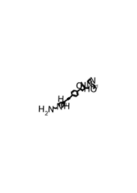 C[C@H](O)c1nccn1Cc1cc(-c2ccc(C#CC3[C@H]4CN(CCN)C[C@@H]34)cc2)on1